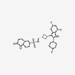 O=c1ccc2cc(S(=O)(=O)/N=C/[C@H]3C[C@H](c4c(-c5ccc(F)cc5)[nH]c5c(F)cc(F)cc54)C3)ccc2[nH]1